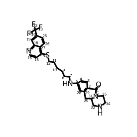 O=C1c2ccc(NCCCCCCSc3ccnc4cc(C(F)(F)F)ccc34)cc2CC2CNCCN12